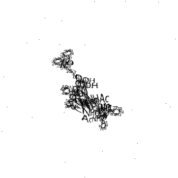 CC(=O)NC1C(O[C@@H]2[C@@H](NC(C)=O)[C@@H](O[C@@H]3[C@H](O)[C@@H](O)[C@@H](OCCCCCN(Cc4ccccc4)C(=O)OCc4ccccc4)O[C@@H]3COCc3ccccc3)O[C@@H]3CO[C@H](c4ccccc4)O[C@H]23)OC(C)C(OC(C)=O)C1O[C@@H]1O[C@@H]2CO[C@@H](c3ccccc3)O[C@H]2[C@H](OCc2ccccc2)[C@@H]1NC(C)=O